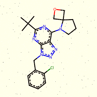 CC(C)(C)c1nc(N2CCCC23COC3)c2nnn(Cc3ccccc3Cl)c2n1